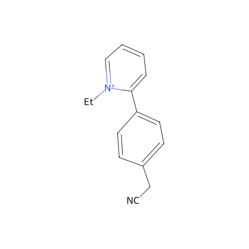 CC[n+]1ccccc1-c1ccc(CC#N)cc1